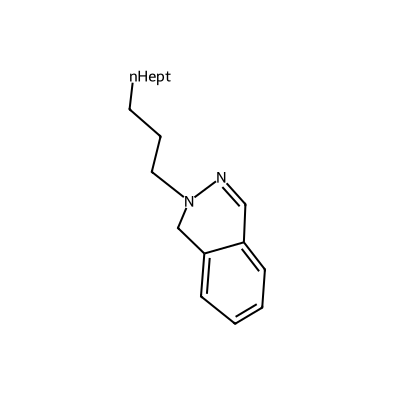 CCCCCCCCCCN1Cc2ccccc2C=N1